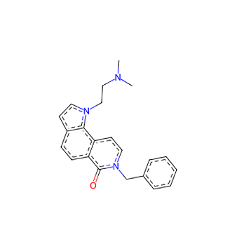 CN(C)CCn1ccc2ccc3c(=O)n(Cc4ccccc4)ccc3c21